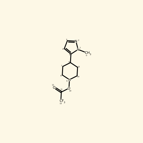 Cn1nccc1C1CCN(OC(=O)C(F)(F)F)CC1